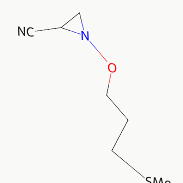 CSCCCON1CC1C#N